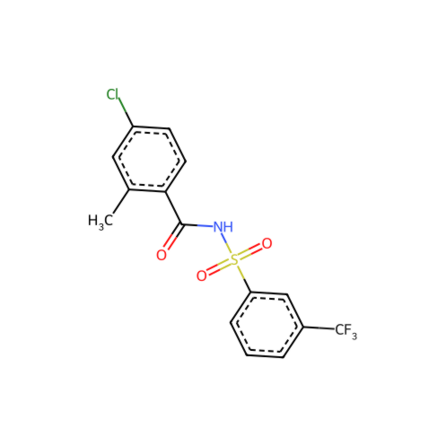 Cc1cc(Cl)ccc1C(=O)NS(=O)(=O)c1cccc(C(F)(F)F)c1